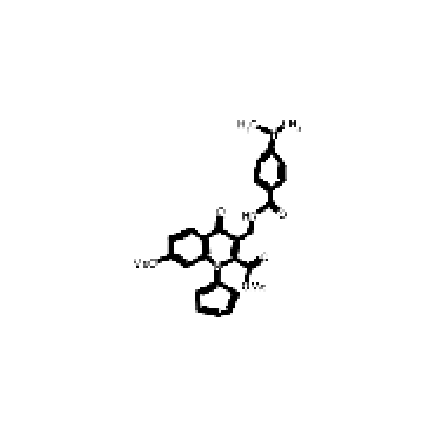 COC(=O)c1c(CNC(=O)c2ccc(N(C)C)cc2)c(=O)c2ccc(OC)cc2n1-c1ccccc1